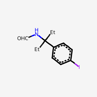 CCC(CC)(NC=O)c1ccc(I)cc1